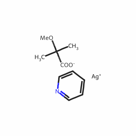 COC(C)(C)C(=O)[O-].[Ag+].c1ccncc1